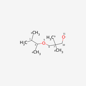 CC(C)C(C)OCC(C)(C)C[O]